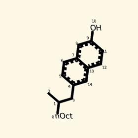 CCCCCCCCC(C)Cc1ccc2cc(O)ccc2c1